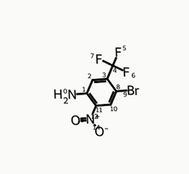 Nc1cc(C(F)(F)F)c(Br)cc1[N+](=O)[O-]